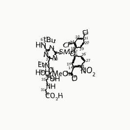 CCNc1nc(NC(C)(C)C)nc(SC)n1.COC(=O)c1cc(Oc2ccc(Cl)cc2Cl)ccc1[N+](=O)[O-].O=C(O)CNCP(=O)(O)O